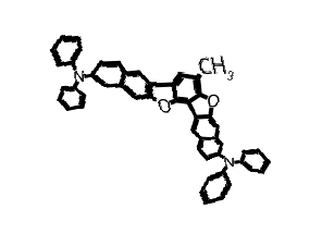 Cc1cc2c3cc4ccc(N(c5ccccc5)c5ccccc5)cc4cc3oc2c2c1oc1cc3cc(N(c4ccccc4)c4ccccc4)ccc3cc12